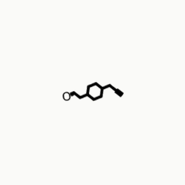 C#CCC1CCC(CC=O)CC1